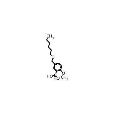 CCCCCCOCc1ccc(OC)c(B(O)O)c1